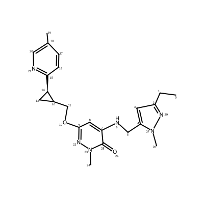 CCc1cc(CNc2cc(OCC3C[C@H]3c3ccc(C)cn3)nn(C)c2=O)n(C)n1